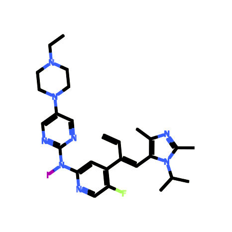 C=C/C(=C\c1c(C)nc(C)n1C(C)C)c1cc(N(I)c2ncc(N3CCN(CC)CC3)cn2)ncc1F